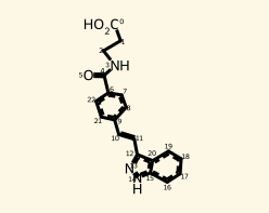 O=C(O)CCNC(=O)c1ccc(C=Cc2n[nH]c3ccccc23)cc1